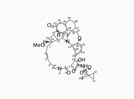 CO[C@H]1C=CCCN(C)C(=O)C[C@](O)(C(=O)NS(=O)(=O)C2(F)CC2)c2ccc3c(c2)N(C[C@@H]2CC[C@H]21)C[C@@]1(CCCc2cc(Cl)ccc21)CO3